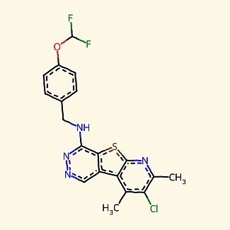 Cc1nc2sc3c(NCc4ccc(OC(F)F)cc4)nncc3c2c(C)c1Cl